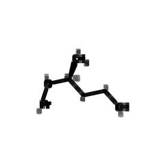 CC(C)O[C@@H](C)CCO